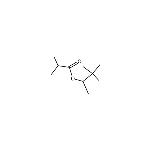 CC(C)C(=O)OC(C)C(C)(C)C